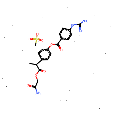 CC(C(=O)OCC(N)=O)c1ccc(OC(=O)c2ccc(NC(=N)N)cc2)cc1.CS(=O)(=O)O